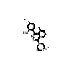 Cc1cccc2c(N3C[C@@H](C)O[C@@H](C)C3)nnc(-c3ccc(C(F)(F)F)cc3O)c12